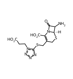 NC1C(=O)N2C(C(=O)O)=C(CSc3nnnn3CCC(=O)O)CS[C@H]12